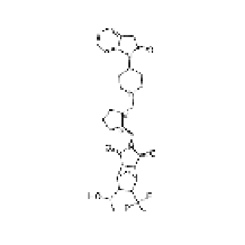 CC(O)C1C2CC(C3C(=O)N(C[C@H]4CCC[C@@H]4CN4CCC(N5C(=O)Cc6ccccc65)CC4)C(=O)C23)C1C(F)(F)F